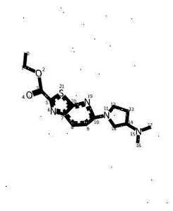 CCOC(=O)c1nc2ccc(N3CCC(N(C)C)C3)nc2s1